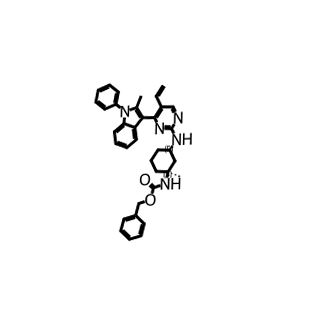 C=Cc1cnc(N[C@@H]2CCC[C@](C)(NC(=O)OCc3ccccc3)C2)nc1-c1c(C)n(-c2ccccc2)c2ccccc12